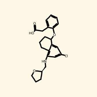 O=C(O)Cc1ccccc1OC1CCCc2c(NC[C@H]3CCCO3)cc(Cl)cc21